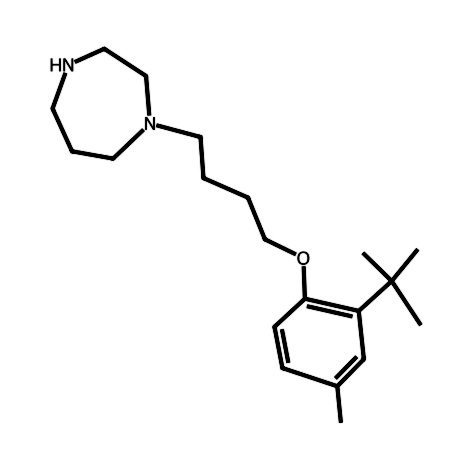 Cc1ccc(OCCCCN2CCCNCC2)c(C(C)(C)C)c1